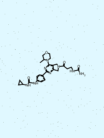 CC1COCCN1c1nc(-c2ccc(NC(=O)NC3CC3)cc2)nc2c1CN(C(=O)CCNC(N)=O)C2